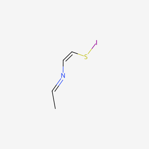 C/C=N/C=C\SI